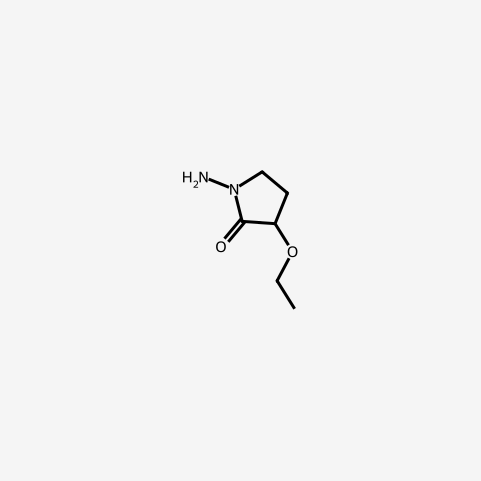 CCOC1CCN(N)C1=O